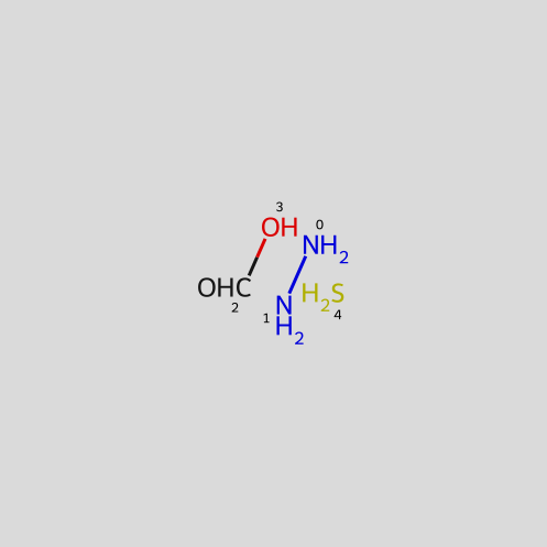 NN.O=CO.S